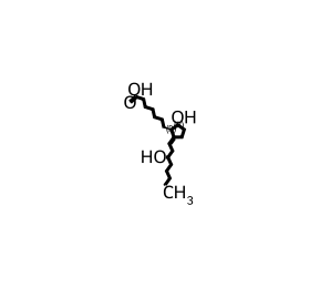 CCCCCC(O)CC=C1CC[C@@H](O)[C@@H]1CCCCCCC(=O)O